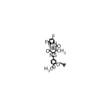 COc1ccc(-c2nc(C(=O)NCc3ccc(F)cc3F)c(C(C)OC(N)=O)s2)cc1OCC1CC1